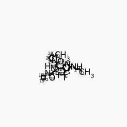 CCCNc1cc(C(F)F)c(-c2sc(C(=O)NC3CCC3)nc2C(=O)N2CCCC2C)cn1